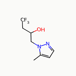 Cc1ccnn1CC(O)CC(F)(F)F